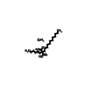 CCCCCCCCCCCCC(CCCCCC)(C(=O)O)C(=O)O.[CaH2]